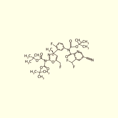 CC(C)(C)OC(=O)N(C(=O)OC(C)(C)C)C1=N[C@](C)(c2cc(N(C(=O)OC(C)(C)C)C(=O)c3ncc(C#N)cc3C(F)F)ccc2F)C=C(CF)O1